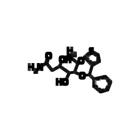 NC(=O)CC(O)C(O)C(OC(c1ccccc1)c1ccsc1)C(N)=O